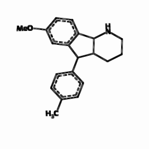 COc1ccc2c(c1)C(c1ccc(C)cc1)C1CCCNC21